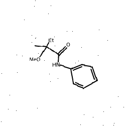 CCC(C)(OC)C(=O)Nc1ccccc1